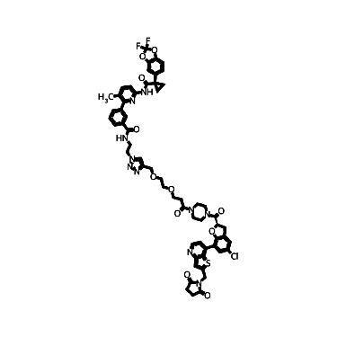 Cc1ccc(NC(=O)C2(c3ccc4c(c3)OC(F)(F)O4)CC2)nc1-c1cccc(C(=O)NCCn2cc(COCCOCCC(=O)N3CCN(C(=O)[C@H]4Cc5cc(Cl)cc(-c6ccnc7cc(CN8C(=O)CCC8=O)sc67)c5O4)CC3)nn2)c1